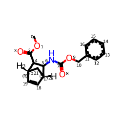 COC(=O)C1C(NC(=O)OCc2ccccc2)[C@@H]2C=C[C@H]1C2